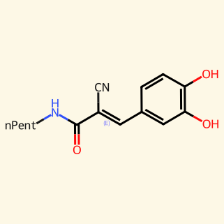 CCCCCNC(=O)/C(C#N)=C/c1ccc(O)c(O)c1